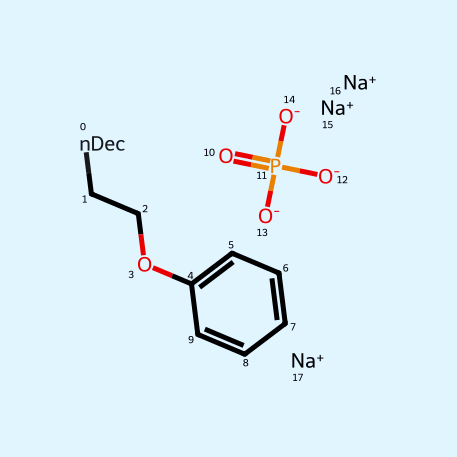 CCCCCCCCCCCCOc1ccccc1.O=P([O-])([O-])[O-].[Na+].[Na+].[Na+]